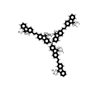 CC1(C)c2ccccc2-c2ccc(/C=C/c3ccc4c(c3)C(C)(C)c3cc(N(c5ccc6c(c5)C(C)(C)c5cc(/C=C/c7ccc8c(c7)C(C)(C)c7ccccc7-8)ccc5-6)c5ccc6c(c5)C(C)(C)c5cc(/C=C/c7ccc8c(c7)C(C)(C)c7ccccc7-8)ccc5-6)ccc3-4)cc21